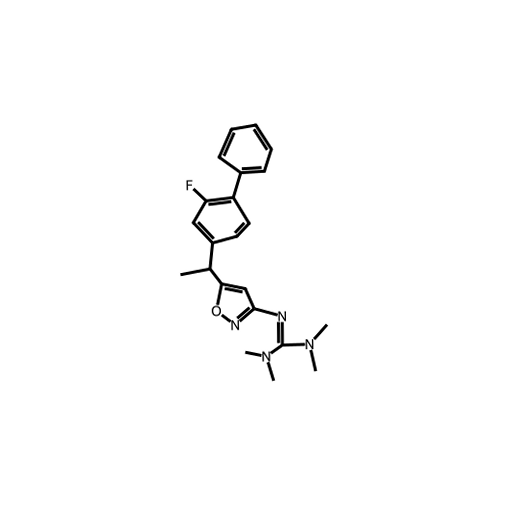 CC(c1ccc(-c2ccccc2)c(F)c1)c1cc(N=C(N(C)C)N(C)C)no1